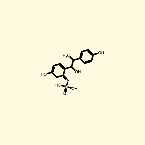 CC(c1ccc(O)cc1)C(O)C1=CC=C(O)CC1=NP(=O)(O)O